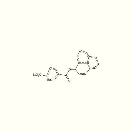 CCOC(=O)c1ccc(C(=O)OC2C=Cc3cccc4cccc2c34)cc1